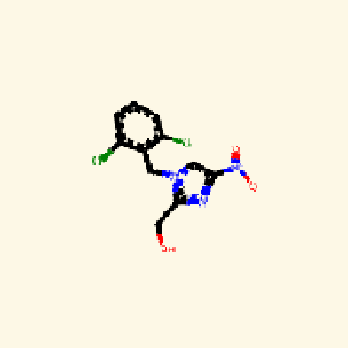 O=[N+]([O-])c1cn(Cc2c(Cl)cccc2Cl)c(CO)n1